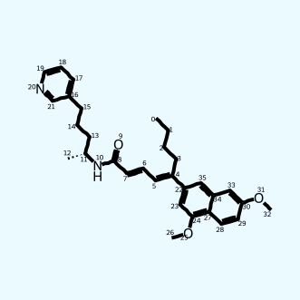 CCCC/C(=C\C=C\C(=O)N[C@H](C)CCCc1cccnc1)c1cc(OC)c2ccc(OC)cc2c1